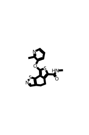 CNC(=O)c1sc(Oc2cccnc2C)c2c1CCc1cnsc1-2